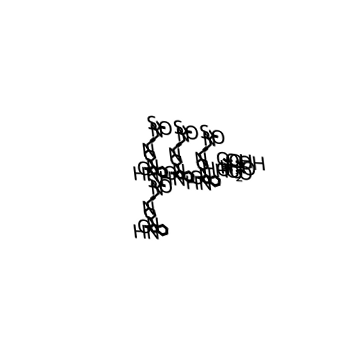 O.O=C(O)C(=O)O.O=C(O)C(=O)O.O=C1CSCN1CC#CCN1CCC(n2c(=O)[nH]c3ccccc32)CC1.O=C1CSCN1CC#CCN1CCC(n2c(=O)[nH]c3ccccc32)CC1.O=C1CSCN1CC#CCN1CCC(n2c(=O)[nH]c3ccccc32)CC1.O=C1CSCN1CC#CCN1CCC(n2c(=O)[nH]c3ccccc32)CC1